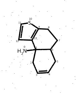 NC12CC=CCC1CCc1sccc12